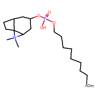 CCCCCCCCCCCCCCCCCCOP(=O)(O)OC1CC2CCC23C(C1)[N+]3(C)C